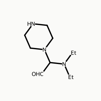 CCN(CC)C(C=O)N1CCNCC1